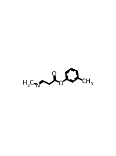 CN=CCC(=O)Oc1cccc(C)c1